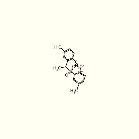 Cc1ccc(C)c(C(C)S(=O)(=O)c2cc(C)cc[n+]2[O-])c1